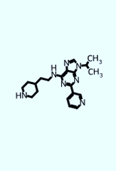 CC(C)n1cnc2c(NCCC3CCNCC3)nc(-c3cccnc3)nc21